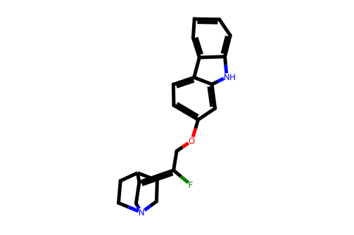 FC(COc1ccc2c(c1)[nH]c1ccccc12)=C1CN2CCC1CC2